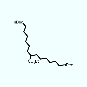 CCCCCCCCCCCCCCCCC(CCCCCCCCCCCCCCCC)C(=O)OCC